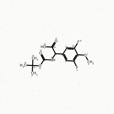 COc1c(F)cc(C(NC(=O)OC(C)(C)C)C(=O)O)cc1F